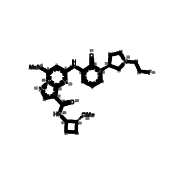 CNc1cc(Nc2cccn([C@H]3CCN(CCF)C3)c2=O)nc2c(C(=O)NC3CC[C@H]3OC)cnn12